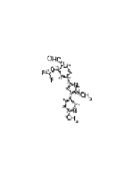 Cc1ccc(-c2cc(-c3ccc(C=O)c(OC(F)F)c3)nn2C)cn1